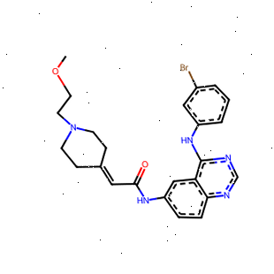 COCCN1CCC(=CC(=O)Nc2ccc3ncnc(Nc4cccc(Br)c4)c3c2)CC1